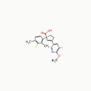 COc1ncc(C2=CC(C(=O)O)(c3ccc(C)c(F)c3C)CC2)cc1F